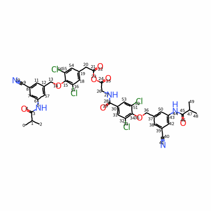 CC(C)C(=O)Nc1cc(C#N)cc(COc2c(Cl)cc(CC(=O)OC(=O)CNC(=O)c3cc(Cl)c(OCc4cc(C#N)cc(NC(=O)C(C)C)c4)c(Cl)c3)cc2Cl)c1